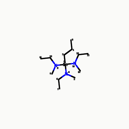 CC[CH2][Sn]([N](C)CC)([N](C)CC)[N](C)CC